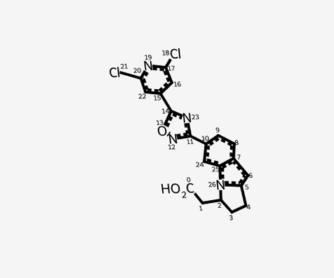 O=C(O)CC1CCc2cc3ccc(-c4noc(-c5cc(Cl)nc(Cl)c5)n4)cc3n21